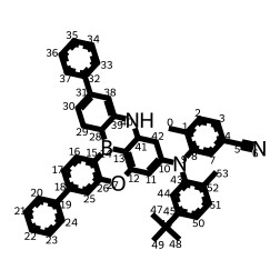 Cc1ccc(C#N)cc1N(C1=CC2=C3B(c4ccc(-c5ccccc5)cc4O2)C2CC=C(c4ccccc4)C=C2NC3C1)c1cc(C(C)(C)C)ccc1C